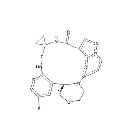 O=C1NC2(CC2)CNc2ncc(F)cc2[C@H]2COCCN2c2ccn3ncc1c3n2